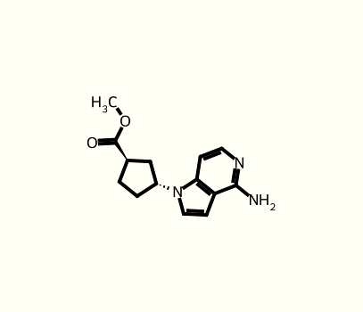 COC(=O)[C@@H]1CC[C@@H](n2ccc3c(N)nccc32)C1